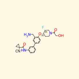 N#CC1(C(=O)Nc2cccc(-c3ccc(O[C@H]4CCN(C(=O)CO)C[C@H]4F)c(CN)c3)c2)CC1